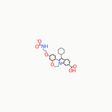 COC(=O)NCCOc1ccc2c(c1)OCCn1c-2c(C2CCCCC2)c2ccc(C(=O)O)cc21